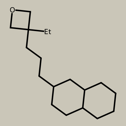 CCC1(CCCC2CCC3CCCCC3C2)COC1